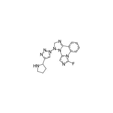 Fc1ncc2n1-c1ccccc1C1=NCN(n3cc(C4CCCN4)nn3)N12